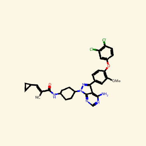 COc1cc(-c2nn(C3CCC(NC(=O)/C(C#N)=C/C4CC4)CC3)c3ncnc(N)c23)ccc1Oc1ccc(Cl)c(Cl)c1